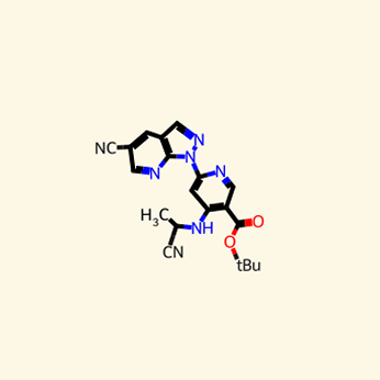 CC(C#N)Nc1cc(-n2ncc3cc(C#N)cnc32)ncc1C(=O)OC(C)(C)C